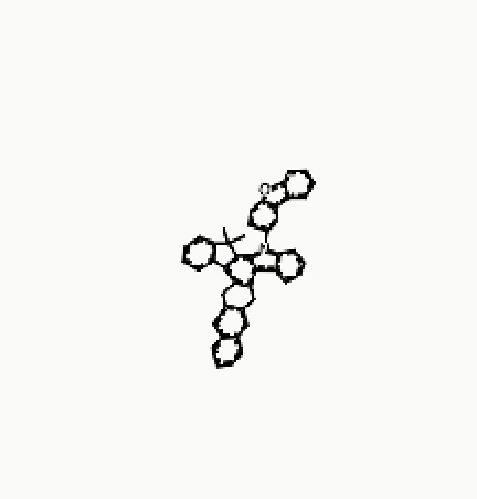 CC1(C)c2ccccc2-c2c3c(c4c5ccccc5n(-c5ccc6oc7ccccc7c6c5)c4c21)Cc1cc2ccccc2cc1C3